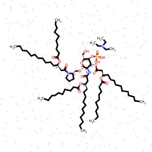 CCCCCCCCCCC[C@H](CC(=O)N[C@H]1[C@H](OC[C@@H]2CCCN2C(=O)C[C@@H](CCCCCCCCCCC)OC(=O)CCCCCCCCC)O[C@H](CO)[C@@H](OP(=O)(O)O)[C@@H]1OC(=O)C[C@@H](CCCCCCCCCCC)OC(=O)CCCCCCCCC)OC(=O)CCCCCCCCC.CCN(CC)CC